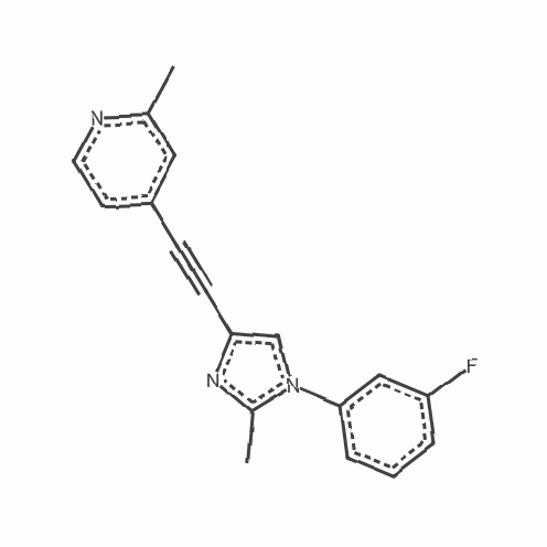 Cc1cc(C#Cc2cn(-c3cccc(F)c3)c(C)n2)ccn1